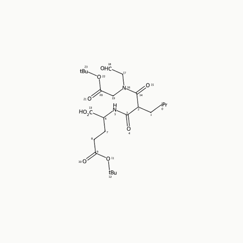 CC(C)CC(C(=O)NC(CCC(=O)OC(C)(C)C)C(=O)O)C(=O)N(CC=O)CC(=O)OC(C)(C)C